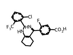 N=C(C1=C(NCc2c(Cl)cccc2C(F)(F)F)CCCC1)c1ccc(C(=O)O)cc1F